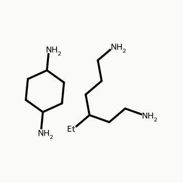 CCC(CCN)CCCN.NC1CCC(N)CC1